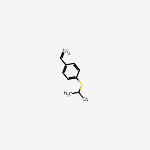 C=Cc1ccc(SC(C)C#N)cc1